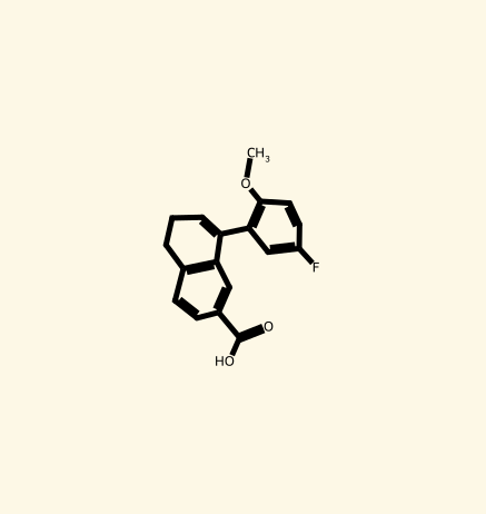 COc1ccc(F)cc1C1=CCCc2ccc(C(=O)O)cc21